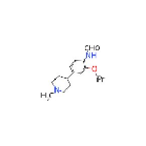 CC(C)Oc1cc(C2CCN(C)CC2)ccc1NC=O